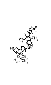 Cc1c(-c2noc(C(F)(F)F)n2)c(=O)n(C2CCCC2)c2nc(Nc3ccc(C4CNCCN4C(=O)OC(C)(C)C)cn3)ncc12